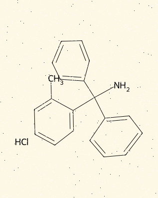 Cc1ccccc1C(N)(c1ccccc1)c1ccccc1.Cl